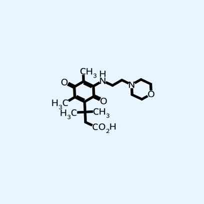 CC1=C(NCCN2CCOCC2)C(=O)C(C(C)(C)CC(=O)O)=C(C)C1=O